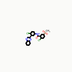 CS(=O)(=O)c1ccc(Cl)c(C(=O)Nc2ccc(Cl)c(-c3cnc4ccccc4n3)c2)c1